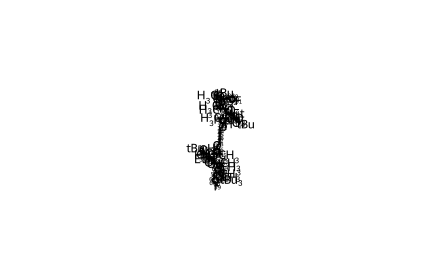 CC[C@@H](C(=O)N[C@@H](Cc1c(C)cc(OCC#CC#CCOc2cc(C)c(C[C@H](NC(=O)[C@H](CC)N(C)C(=O)OC(C)(C)C)C(=O)N3CC(C)(C)c4nc(O[Si](C)(C)C(C)(C)C)c(Cc5ccc(F)cc5)cc43)c(C)c2)cc1C)C(=O)N1CC(C)(C)c2nc(O[Si](C)(C)C(C)(C)C)c(Cc3ccc(F)cc3)cc21)N(C)C(=O)OC(C)(C)C